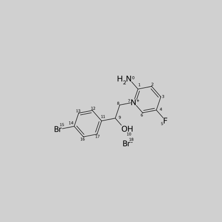 Nc1ccc(F)c[n+]1CC(O)c1ccc(Br)cc1.[Br-]